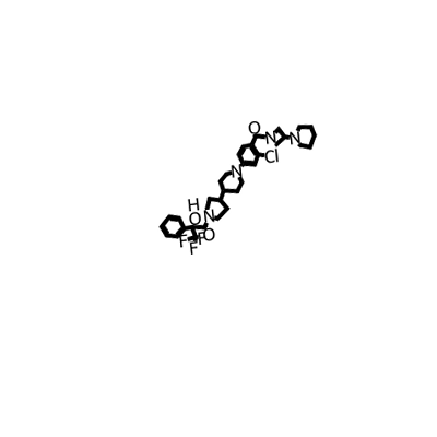 O=C(c1ccc(N2CCC(C3CCN(C(=O)[C@](O)(c4ccccc4)C(F)(F)F)CC3)CC2)cc1Cl)N1CC(N2CCCCC2)C1